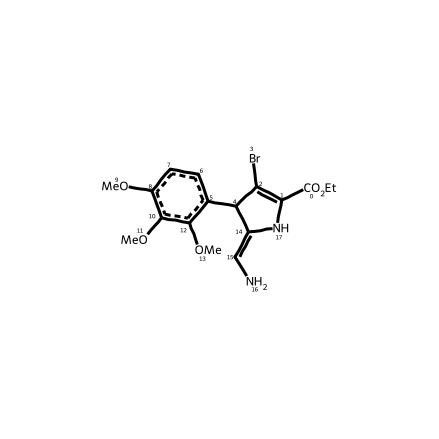 CCOC(=O)C1=C(Br)C(c2ccc(OC)c(OC)c2OC)C(=CN)N1